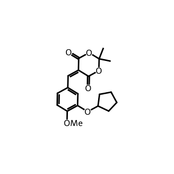 COc1ccc(C=C2C(=O)OC(C)(C)OC2=O)cc1OC1CCCC1